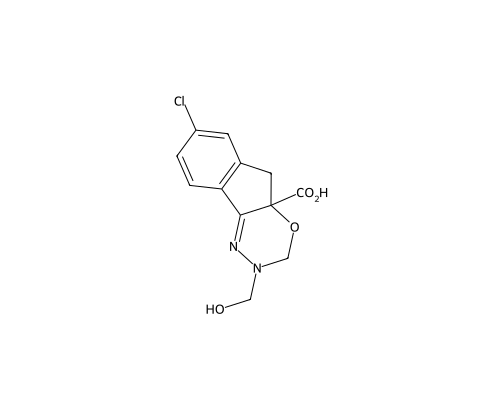 O=C(O)C12Cc3cc(Cl)ccc3C1=NN(CO)CO2